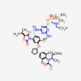 CC(C)=C1OC(=O)N(c2cc(OC3CCCC3)c(Cl)cc2F)C1=O.CCNc1nc(Cl)nc(NC(C)C)n1.CCc1cccc(C)c1N(C(=O)CCl)C(C)COC.C[S+](C)C.O=C(O)CNCP(=O)([O-])O